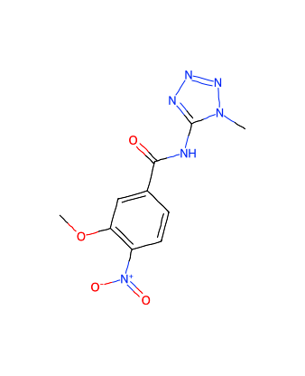 COc1cc(C(=O)Nc2nnnn2C)ccc1[N+](=O)[O-]